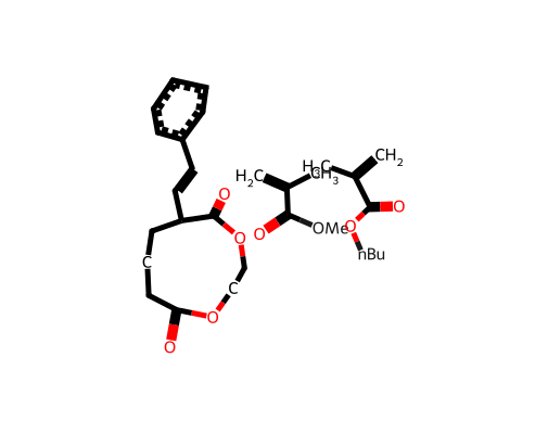 C=C(C)C(=O)OC.C=C(C)C(=O)OCCCC.O=C1CCCC(C=Cc2ccccc2)C(=O)OCCO1